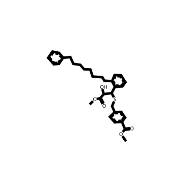 COC(=O)c1ccc(CSC(c2ccccc2CCCCCCCCc2ccccc2)C(O)C(=O)OC)cc1